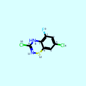 Fc1cc(Cl)cc2c1NC(Cl)=NS2